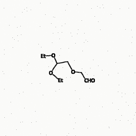 CCOC(COCC=O)OCC